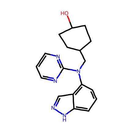 OC1CCC(CN(c2ncccn2)c2cccc3[nH]ncc23)CC1